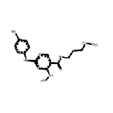 CCCNc1nc(Nc2ccc(C#N)cc2)ncc1C(=O)NCCCNC(=O)O